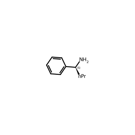 CCC[C@H](N)c1ccccc1